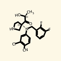 C[C@H](O)C(=O)[C@]1(N(Cc2cccc(F)c2F)c2ccc(C#N)c(Cl)c2)CCNC1